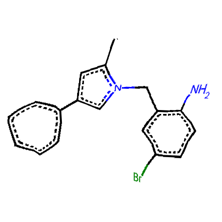 [CH2]c1cc(-c2ccccc2)cn1Cc1cc(Br)ccc1N